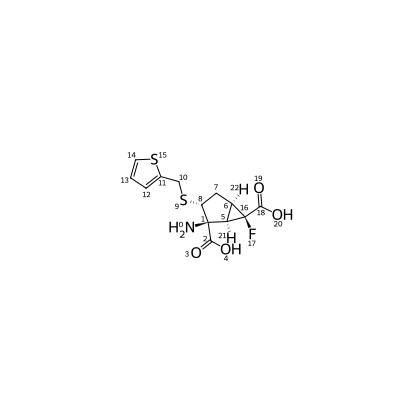 N[C@]1(C(=O)O)[C@H]2[C@@H](C[C@H]1SCc1cccs1)[C@]2(F)C(=O)O